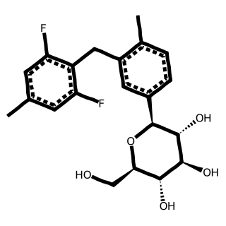 Cc1cc(F)c(Cc2cc([C@@H]3O[C@H](CO)[C@@H](O)[C@H](O)[C@H]3O)ccc2C)c(F)c1